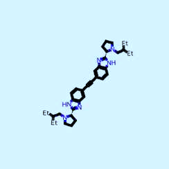 CCC(CC)CN1CCC[C@H]1c1nc2cc(C#Cc3ccc4[nH]c([C@@H]5CCCN5CC(CC)CC)nc4c3)ccc2[nH]1